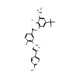 CNc1ccc(C2=CN(c3cc(C(=O)Nc4cc(C(C)(C)C)cc(NS(C)(=O)=O)c4OC)ccc3C)NN2)cn1